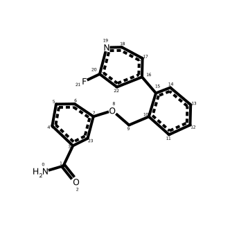 NC(=O)c1[c]ccc(OCc2ccccc2-c2ccnc(F)c2)c1